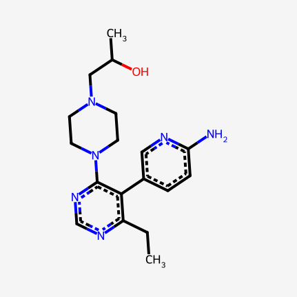 CCc1ncnc(N2CCN(CC(C)O)CC2)c1-c1ccc(N)nc1